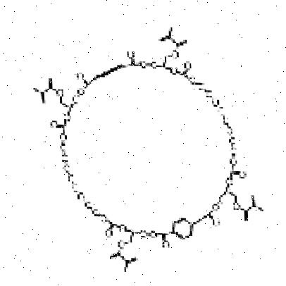 C=C(C)C(=C)OCC1COC(=O)c2ccc(cc2)C(=O)OCC(COC(=C)C(=C)C)OC(=O)OCCOCCOCCOC(=O)OC(COC(=C)C(=C)C)COC(=O)c2ccc(cc2)C(=O)OCC(COC(=C)C(=C)C)OC(=O)OCCOCCOCCOC(=O)O1